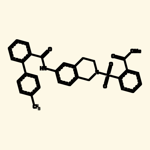 COC(=O)c1ccccc1S(=O)(=O)N1CCc2cc(NC(=O)c3ccccc3-c3ccc(C(F)(F)F)cc3)ccc2C1